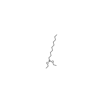 CCCCCCCCCCB(OCC)OCC